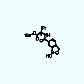 CC(C)[C@H](NC(=O)c1ccc2c(c1)B(O)OC2)C(=O)OC(C)(C)C